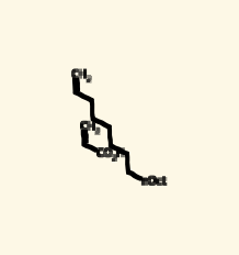 C=CC(=O)O.C=CCCCCCCCCCCCCCC